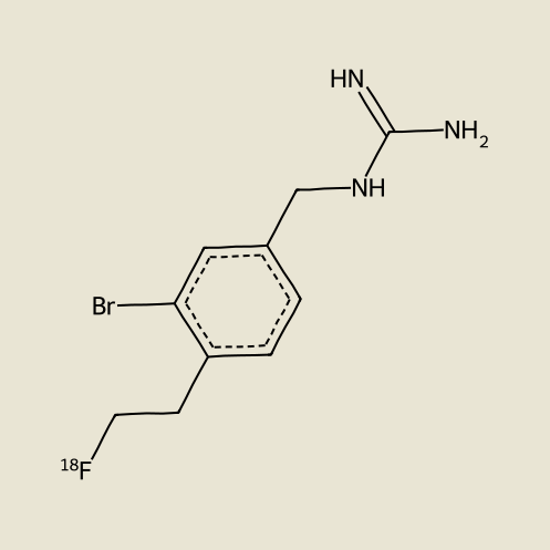 N=C(N)NCc1ccc(CC[18F])c(Br)c1